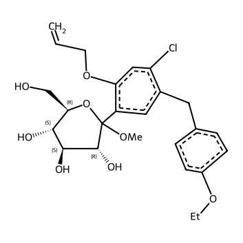 C=CCOc1cc(Cl)c(Cc2ccc(OCC)cc2)cc1C1(OC)O[C@H](CO)[C@@H](O)[C@H](O)[C@H]1O